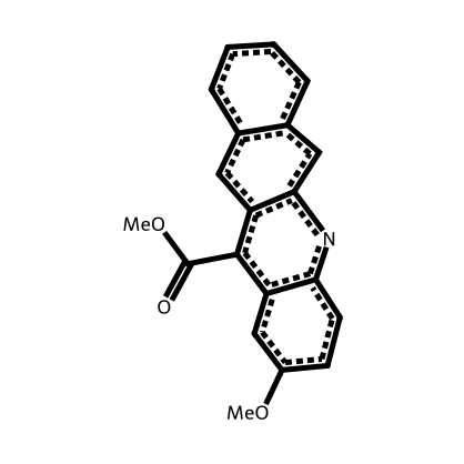 COC(=O)c1c2cc(OC)ccc2nc2cc3ccccc3cc12